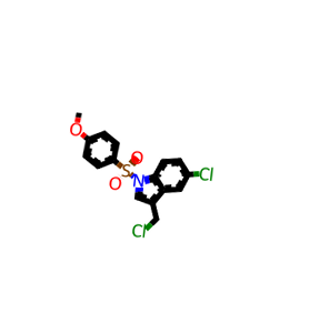 COc1ccc(S(=O)(=O)n2cc(CCl)c3cc(Cl)ccc32)cc1